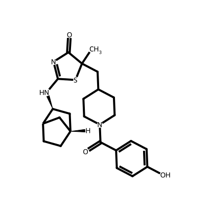 CC1(CC2CCN(C(=O)c3ccc(O)cc3)CC2)SC(N[C@H]2C[C@@H]3CCC2C3)=NC1=O